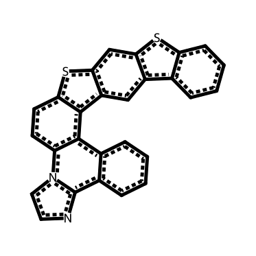 c1ccc2c(c1)sc1cc3sc4ccc5c(c6ccccc6c6nccn56)c4c3cc12